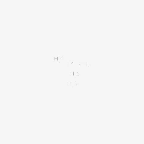 C.S.S.S.S